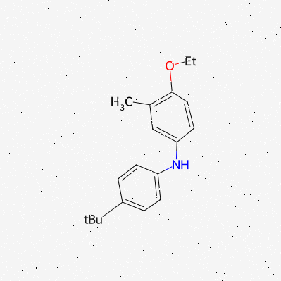 CCOc1ccc(Nc2ccc(C(C)(C)C)cc2)cc1C